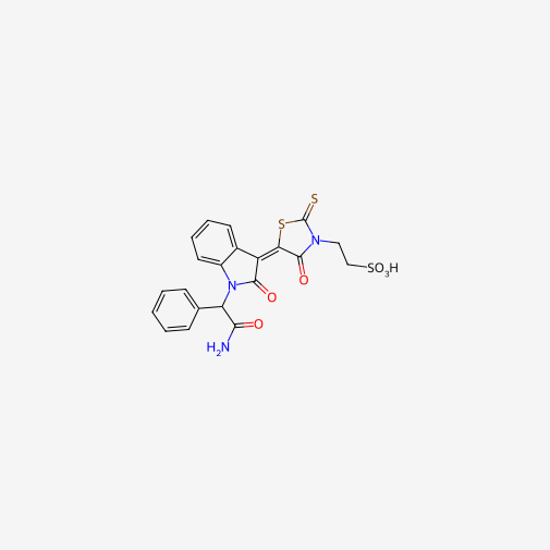 NC(=O)C(c1ccccc1)N1C(=O)/C(=C2/SC(=S)N(CCS(=O)(=O)O)C2=O)c2ccccc21